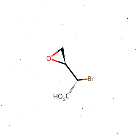 O=C(O)[C@@H](Br)[C@@H]1CO1